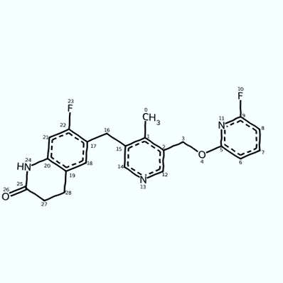 Cc1c(COc2cccc(F)n2)cncc1Cc1cc2c(cc1F)NC(=O)CC2